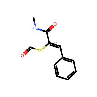 CNC(=O)/C(=C/c1ccccc1)SC=O